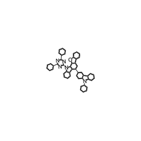 c1ccc(-c2nc(-c3ccccc3)nc(-n3c4ccccc4c4c(-c5ccc6c(c5)c5ccccc5n6-c5ccccc5)cc5c6ccccc6oc5c43)n2)cc1